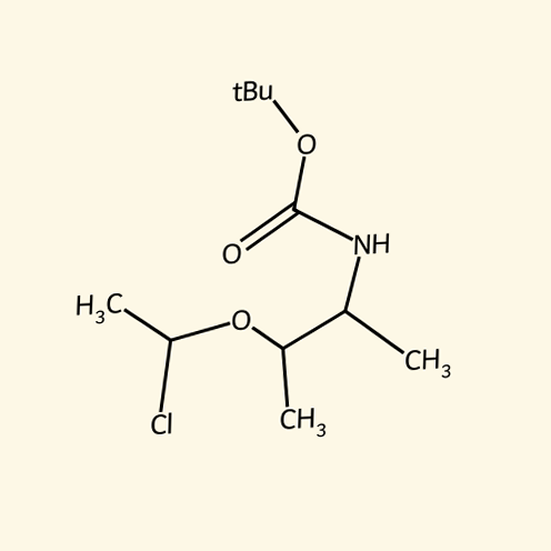 CC(Cl)OC(C)C(C)NC(=O)OC(C)(C)C